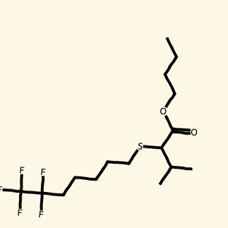 CCCCOC(=O)C(SCCCCCC(F)(F)C(F)(F)F)C(C)C